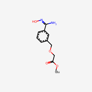 CC(C)(C)OC(=O)COCc1cccc(/C(N)=N\O)c1